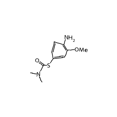 COc1cc(SC(=O)N(C)C)ccc1N